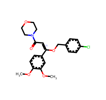 COc1ccc(/C(=C\C(=O)N2CCOCC2)OCc2ccc(Cl)cc2)cc1OC